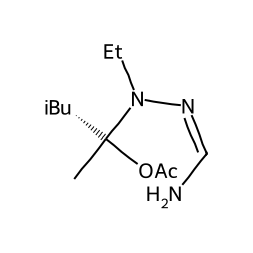 CC[C@@H](C)C(C)(OC(C)=O)N(CC)/N=C\N